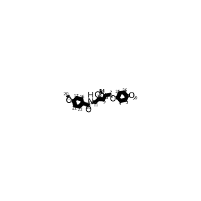 COc1ccc(OCc2cc(CNC(=O)c3ccc(OC)cc3)on2)cc1